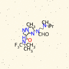 Cc1cc(N(C=O)CCN(C)C(C)C)nc2c(C(=O)NC(C)(C)C(F)(F)F)cnn12